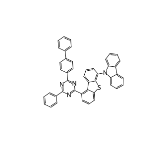 c1ccc(-c2ccc(-c3nc(-c4ccccc4)nc(-c4cccc5sc6c(-n7c8ccccc8c8ccccc87)cccc6c45)n3)cc2)cc1